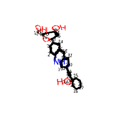 Nc1ccc([C@H]2CC(O)C[C@@H](CO)O2)cc1Cc1ccc(C#CC2(O)CCCCC2)cc1